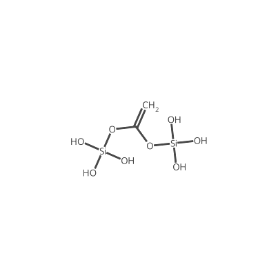 C=C(O[Si](O)(O)O)O[Si](O)(O)O